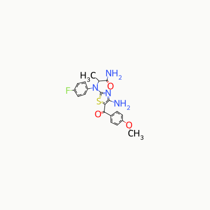 COc1ccc(C(=O)c2sc(N(c3ccc(F)cc3)C(C)C(N)=O)nc2N)cc1